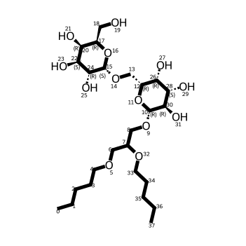 CCCCCOCC(CO[C@@H]1O[C@H](CO[C@H]2O[C@H](CO)[C@H](O)[C@H](O)[C@H]2O)[C@H](O)[C@H](O)[C@H]1O)OCCCCC